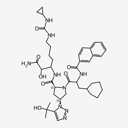 CC(C)(O)c1cnnn1[C@H]1C[C@@H](C(=O)NC(CCCCNC(=O)NC2CC2)C(O)C(N)=O)N(C(=O)C(CC2CCCCC2)NC(=O)c2ccc3ccccc3c2)C1